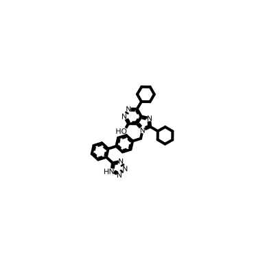 Oc1nnc(C2CCCCC2)c2nc(C3CCCCC3)n(Cc3ccc(-c4ccccc4-c4nnn[nH]4)cc3)c12